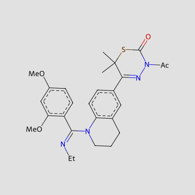 CC/N=C(/c1ccc(OC)cc1OC)N1CCCc2cc(C3=NN(C(C)=O)C(=O)SC3(C)C)ccc21